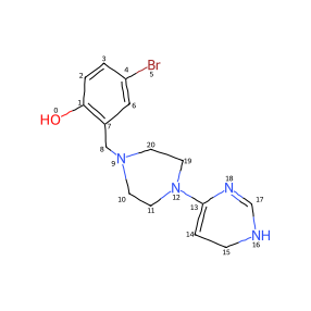 Oc1ccc(Br)cc1CN1CCN(C2=CCNC=N2)CC1